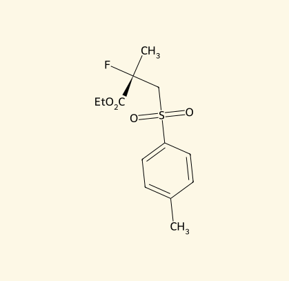 CCOC(=O)[C@](C)(F)CS(=O)(=O)c1ccc(C)cc1